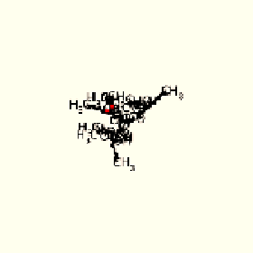 CCCCCCC(O)CC(CCC(=O)OCC(COC(=O)CC(O)C(CC(O)CCCCCC)OC(=O)CN(C)CC)OC(=O)CC(O)C(CC(O)CCCCCC)OC(=O)CN(C)CC)OC(=O)CN(C)CC